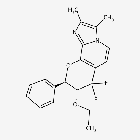 CCO[C@@H]1[C@@H](c2ccccc2)Oc2c(ccn3c(C)c(C)nc23)C1(F)F